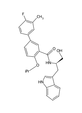 Cc1cc(-c2ccc(OC(C)C)c(C(=O)N[C@@H](CO)Cc3c[nH]c4ccccc34)c2)ccc1F